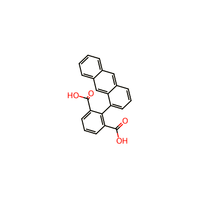 O=C(O)c1cccc(C(=O)O)c1-c1cccc2cc3ccccc3cc12